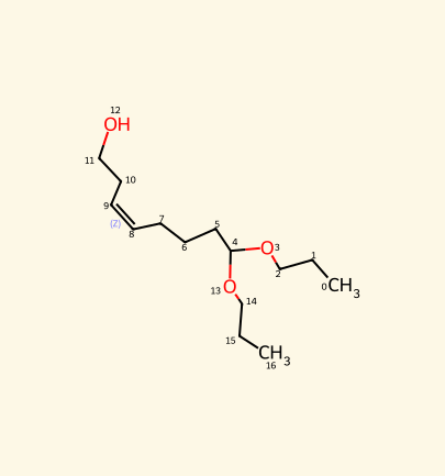 CCCOC(CCC/C=C\CCO)OCCC